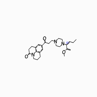 C=C(OC)/C(=C\CC)N1CCN(CCC(=O)c2cc3c4c(c2)CCC(=O)N4CCC3)CC1